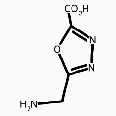 NCc1nnc(C(=O)O)o1